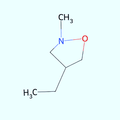 CCC1CON(C)C1